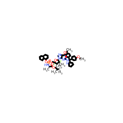 CCOc1nc(NC(c2ccccc2)(c2ccccc2)c2ccc(OC)cc2)nc2c1ncn2[C@@H]1O[C@](F)(COP(=O)(N[C@@H](C)C(=O)OCC(C)C)Oc2cccc3ccccc23)[C@@H](C)[C@@]1(C)F